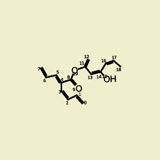 C=C/C=C\C(=C/C=C)C(=O)OC(=C)/C=C(O)\C=C/C